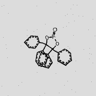 O=[P]1OC(c2ccccc2)(c2ccccc2)C(c2ccccc2)(c2ccccc2)O1